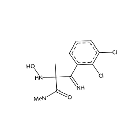 CNC(=O)C(C)(NO)C(=N)c1cccc(Cl)c1Cl